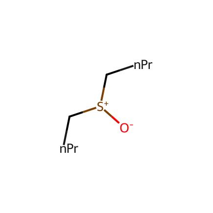 [CH2]CCC[S+]([O-])CCCC